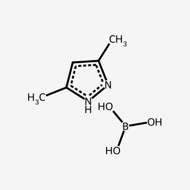 Cc1cc(C)[nH]n1.OB(O)O